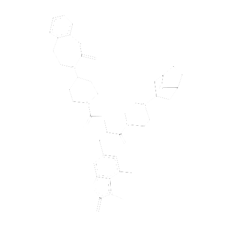 Cc1cc(CC(OC(=O)N2CCC(N3CCc4ccccc4NC3=O)CC2)C(=O)N2CCN(C3CC4CCC(C3)N4C)CC2)cc2oc(=O)n(C)c12